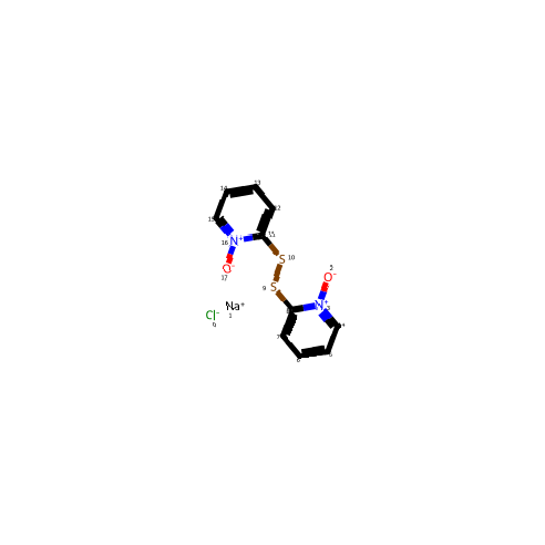 [Cl-].[Na+].[O-][n+]1ccccc1SSc1cccc[n+]1[O-]